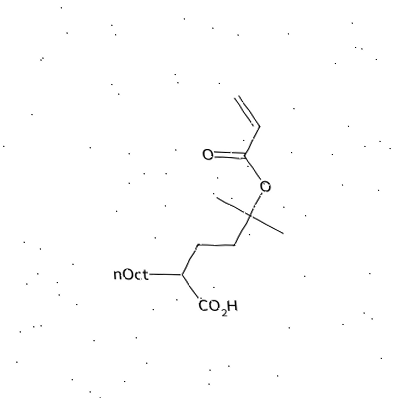 C=CC(=O)OC(C)(C)CCC(CCCCCCCC)C(=O)O